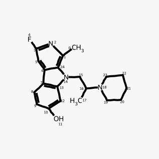 Cc1nc(F)cc2c3ccc(O)cc3n(CC(C)N3CCCCC3)c12